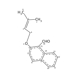 CC(C)=CCOc1ccc2ccccc2c1C=O